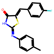 Cc1ccc(N=C2NC(=O)C(=Cc3ccc(F)cc3)S2)cc1